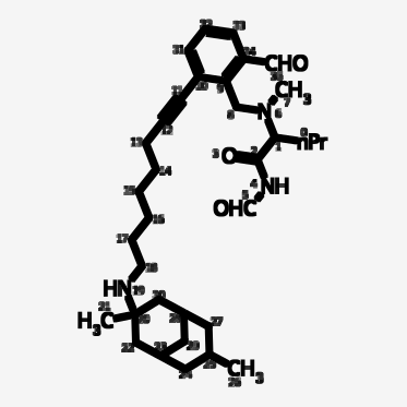 CCCC(C(=O)NC=O)N(C)Cc1c(C#CCCCCCCNC2(C)CC3CC(C)CC(C3)C2)cccc1C=O